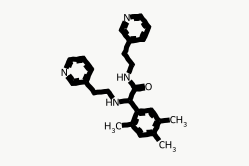 Cc1cc(C)c(C(NCCc2cccnc2)C(=O)NCCc2cccnc2)cc1C